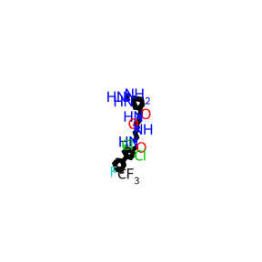 N=C(N)Nc1cccc(C(=O)NCC(=O)NCCNC(=O)c2c(Cl)cc(-c3ccc(F)c(C(F)(F)F)c3)cc2Cl)c1